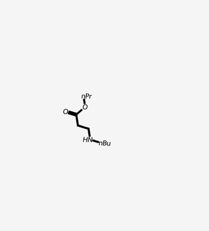 CCCCNCCC(=O)OCCC